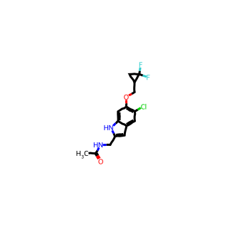 CC(=O)NCc1cc2cc(Cl)c(OCC3CC3(F)F)cc2[nH]1